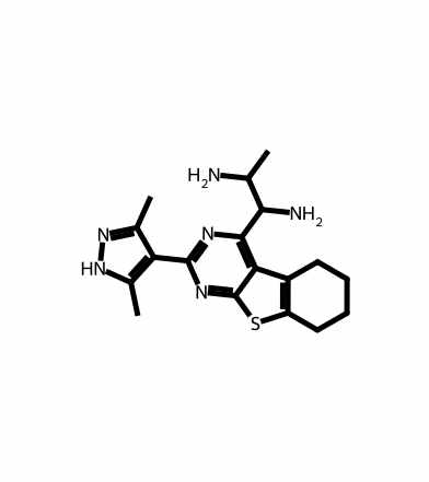 Cc1n[nH]c(C)c1-c1nc(C(N)C(C)N)c2c3c(sc2n1)CCCC3